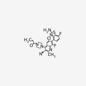 C=CC(=O)N1CCN(c2c(C#N)c(C)nc3c(F)c(-c4ccc(F)c5sc(N)nc45)c(Cl)cc23)CC1